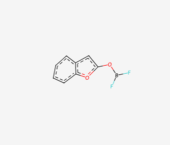 FB(F)Oc1cc2ccccc2o1